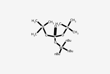 CCC[CH2][Sn]([CH2]CCC)([CH2]CCC)[O]P(=O)(O[Si](C)(C)C)O[Si](C)(C)C